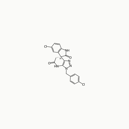 O=C1C[C@]2(C(=O)Nc3ccc(Cl)cc32)c2nnn(Cc3ccc(Cl)cc3)c2N1